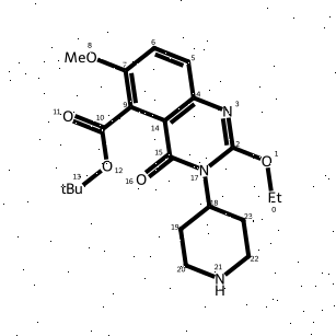 CCOc1nc2ccc(OC)c(C(=O)OC(C)(C)C)c2c(=O)n1C1CCNCC1